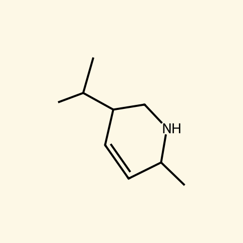 CC1C=CC(C(C)C)CN1